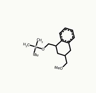 COCC1Cc2ccccc2C(CO[Si](C)(C)C(C)(C)C)C1